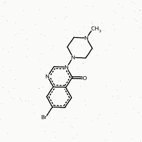 CN1CCN(n2cnc3cc(Br)ccc3c2=O)CC1